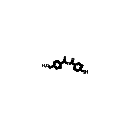 CSc1ccc(C(=O)OC(=O)c2ccc(S)cc2)cc1